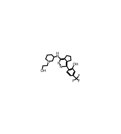 OCCN1CCCC(Nc2nnc(-c3ccc(C(F)(F)F)cc3O)c3c2CCC3)C1